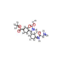 CCOC(=O)N1CCc2c(cccc2N(C)C(=O)CN(C)C)C1c1ccc(C(=O)OC(C)(C)C)cc1